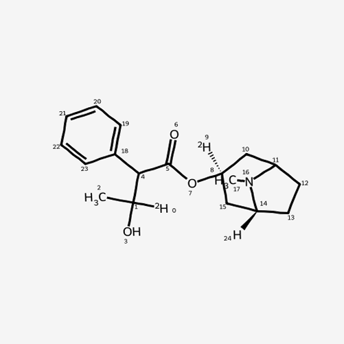 [2H]C(C)(O)C(C(=O)O[C@@]1([2H])CC2CC[C@H](C1)N2C)c1ccccc1